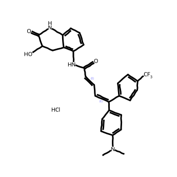 CN(C)c1ccc(/C(=C/C=C/C(=O)Nc2cccc3c2CC(O)C(=O)N3)c2ccc(C(F)(F)F)cc2)cc1.Cl